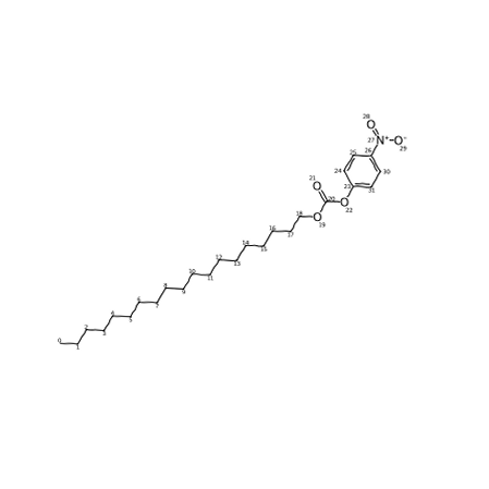 CCCCCCCCCCCCCCCCCCCOC(=O)Oc1ccc([N+](=O)[O-])cc1